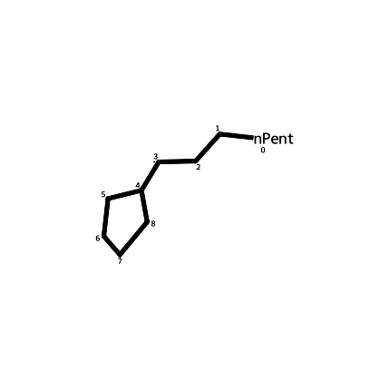 [CH2]CCCCCC[CH]C1CCCC1